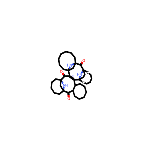 O=C1/C2=C(\C3CCCCCCC3C(=O)C34CCCCCC1(C3)N4)C13CCCCCCC(CC1)(N3)C(=O)C13CCCCCCCC2(C1)N3